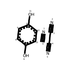 C#N.N#CC#N.Oc1ccc(O)cc1